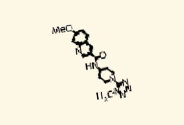 COc1ccc2cc(C(=O)NC3CCN(c4nnnn4C)CC3)cnc2c1